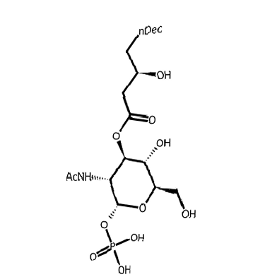 CCCCCCCCCCC[C@@H](O)CC(=O)O[C@H]1[C@H](O)[C@@H](CO)O[C@H](OP(=O)(O)O)[C@@H]1NC(C)=O